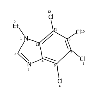 CCn1cnc2c(Cl)c(Cl)c(Cl)c(Cl)c21